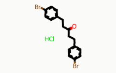 Cl.O=C(CCc1ccc(Br)cc1)CCc1ccc(Br)cc1